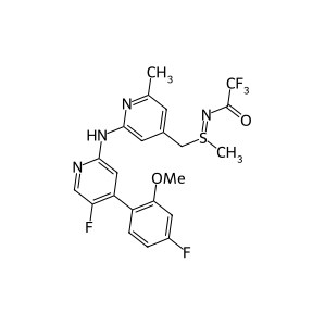 COc1cc(F)ccc1-c1cc(Nc2cc(CS(C)=NC(=O)C(F)(F)F)cc(C)n2)ncc1F